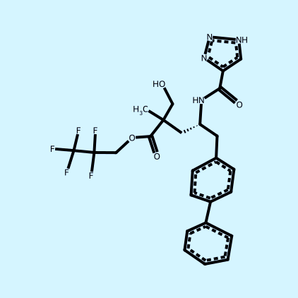 CC(CO)(C[C@@H](Cc1ccc(-c2ccccc2)cc1)NC(=O)c1c[nH]nn1)C(=O)OCC(F)(F)C(F)(F)F